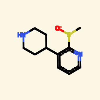 C[S+]([O-])c1ncccc1C1CCNCC1